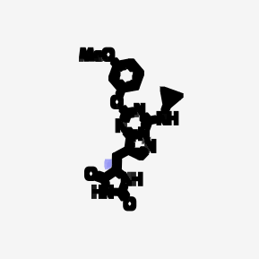 COc1cccc(Oc2nc(NC3CC3)n3ncc(/C=C4\NC(=O)NC4=O)c3n2)c1